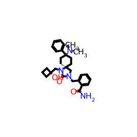 CN(C)[C@]1(c2ccccc2)CC[C@]2(CC1)CN(Cc1ccccc1C(N)=O)C(=O)N2CC1(O)CCC1